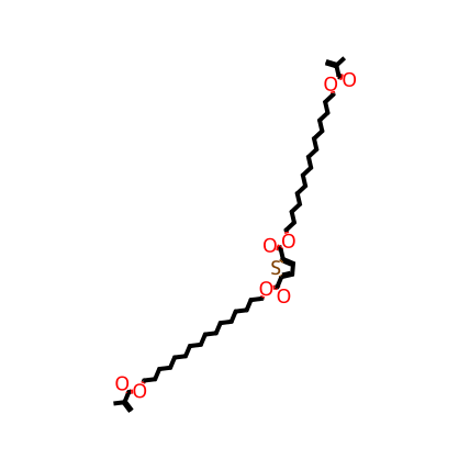 C=C(C)C(=O)OCCCCCCCCCCCCCCCCOC(=O)c1ccc(C(=O)OCCCCCCCCCCCCCCCCOC(=O)C(=C)C)s1